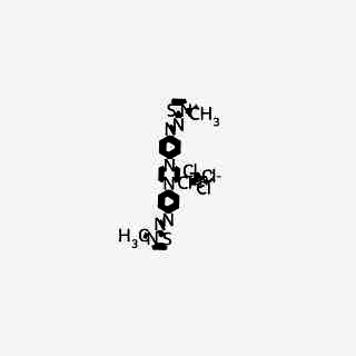 C[n+]1ccsc1/N=N/c1ccc(N2CCN(c3ccc(/N=N/c4scc[n+]4C)cc3)CC2)cc1.[Cl][Zn-2]([Cl])([Cl])[Cl]